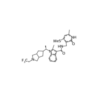 CSc1cc(C)[nH]c(=O)c1CNC(=O)c1c(C)n([C@H](C)C2CC3CN(CC(F)(F)F)CC3C2)c2ccccc12